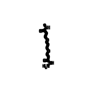 CNC(=O)CCOCCCOCCC(=O)NN